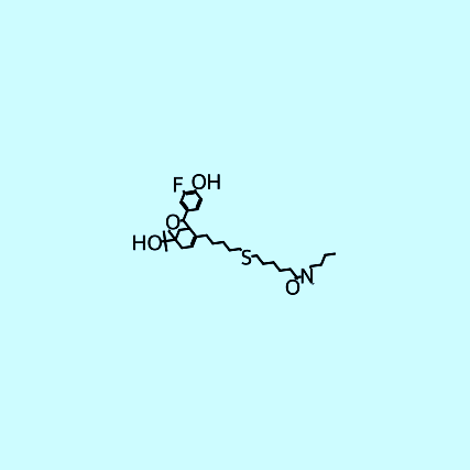 CCCCN(C)C(=O)CCCCCSCCCCCC1=CCC2(C(C)(C)O)COC(c3ccc(O)c(F)c3)C1C2